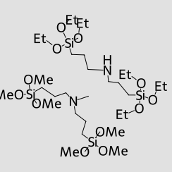 CCO[Si](CCCNCCC[Si](OCC)(OCC)OCC)(OCC)OCC.CO[Si](CCCN(C)CCC[Si](OC)(OC)OC)(OC)OC